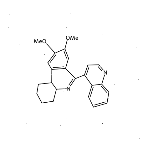 COc1cc2c(cc1OC)C1CCCCC1N=C2c1ccnc2ccccc12